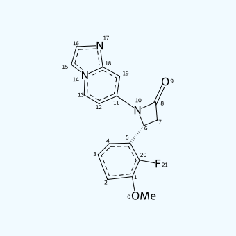 COc1cccc([C@H]2CC(=O)N2c2ccn3ccnc3c2)c1F